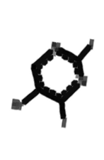 Brc1cnc(I)nc1I